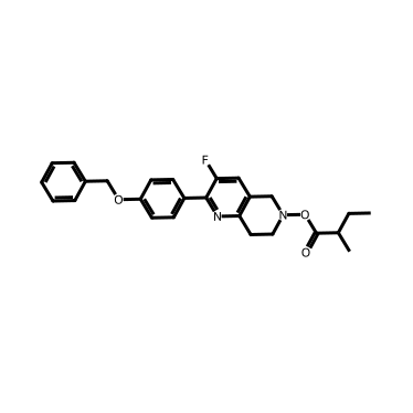 CCC(C)C(=O)ON1CCc2nc(-c3ccc(OCc4ccccc4)cc3)c(F)cc2C1